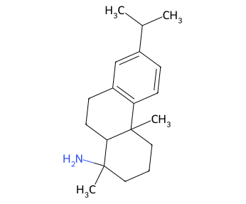 CC(C)c1ccc2c(c1)CCC1C(C)(N)CCCC21C